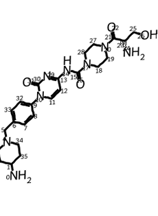 NC1CCN(Cc2ccc(-n3ccc(NC(=O)N4CCN(C(=O)[C@@H](N)CO)CC4)nc3=O)cc2)CC1